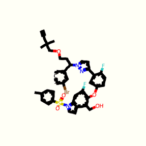 C#CC(C)(C)COCCC(c1cccc(Br)c1)n1ccc(-c2cc(Oc3c(F)cc4c(ccn4S(=O)(=O)c4ccc(C)cc4)c3CO)ccc2F)n1